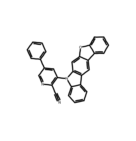 N#Cc1ncc(-c2ccccc2)cc1-n1c2ccccc2c2cc3c(cc21)oc1ccccc13